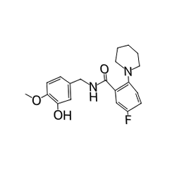 COc1ccc(CNC(=O)c2cc(F)ccc2N2CCCCC2)cc1O